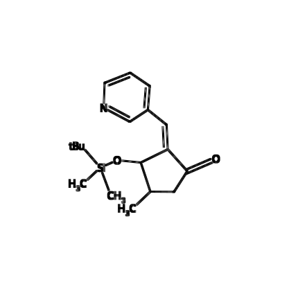 CC1CC(=O)C(=Cc2cccnc2)C1O[Si](C)(C)C(C)(C)C